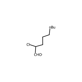 CCCCCCCC(Cl)[C]=O